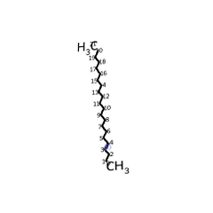 CCC/C=C/CCCCCCCCCCCCCCCCC